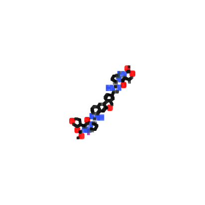 COC(=O)N[C@H](C(=O)N1[C@@H](C)CC[C@H]1c1ncc(-c2ccc3c(c2)COc2cc4c(ccc5nc([C@@H]6CC[C@H](I)N6C(=O)[C@@H](NC(=O)OC)C6CCOCC6)[nH]c54)cc2-3)[nH]1)C(C)C